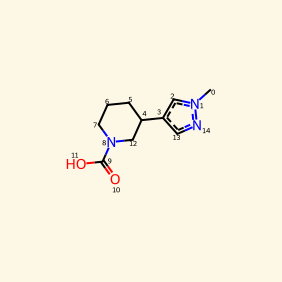 Cn1cc(C2CCCN(C(=O)O)C2)cn1